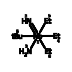 C[CH2][Nb](=[NH])([NH2])([CH2]C)([CH2]C)[C](C)(C)C